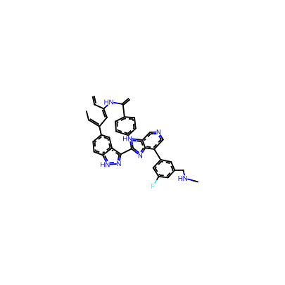 C=C/C(=C\C(=C/C)c1ccc2[nH]nc(-c3nc4c(-c5cc(F)cc(CNC)c5)cncc4[nH]3)c2c1)NC(=C)c1ccccc1